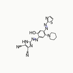 N#Cc1nc(/N=N/c2cc(N3CCCCC3)c(/N=N/c3nccs3)cc2O)[nH]c1C#N